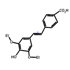 CCOc1cc(/C=C/c2ccc(C(=O)O)cc2)cc(OCC)c1O